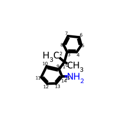 CC(C)(c1ccccc1)c1ccccc1N